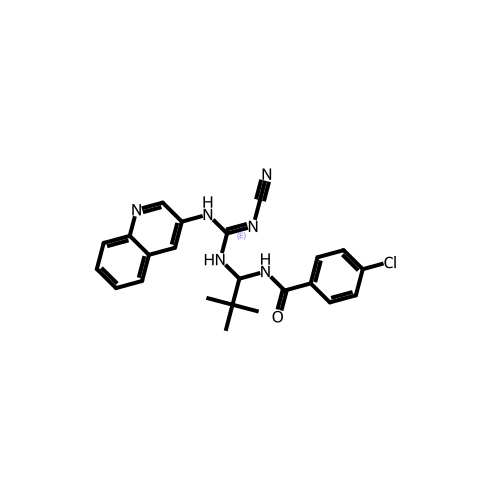 CC(C)(C)C(NC(=O)c1ccc(Cl)cc1)N/C(=N/C#N)Nc1cnc2ccccc2c1